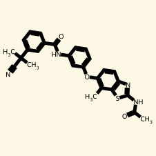 CC(=O)Nc1nc2ccc(Oc3cccc(NC(=O)c4cccc(C(C)(C)C#N)c4)c3)c(C)c2s1